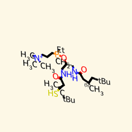 C=P(CC)(CCC[N+](C)(C)C)O[C@H](CNC(=O)C[C@@H](C)CC(C)(C)C)CNC(=O)CC(C)(S)CC(C)(C)C